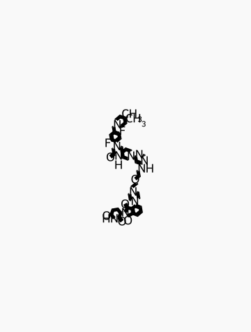 CC1(C)CCN(Cc2cc(F)c(N3CC(=O)NC4(CCN(c5cc(NCCOCCN6CCN(c7cccc8c7C(=O)N(C7CCC(=O)NC7=O)C8=O)CC6)ncn5)CC4)C3)cc2F)CC1